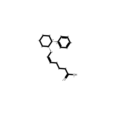 O=C(O)CCC/C=C\C[C@@H]1CCCC[C@@H]1c1ccccc1